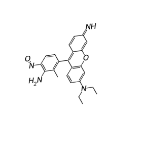 CCN(CC)c1ccc2c(-c3ccc(N=O)c(N)c3C)c3ccc(=N)cc-3oc2c1